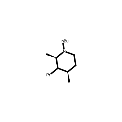 CCCCN1CC[C@@H](C)C(C(C)C)[C@H]1C